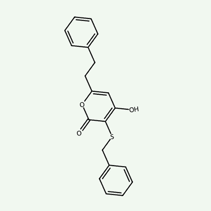 O=c1oc(CCc2ccccc2)cc(O)c1SCc1ccccc1